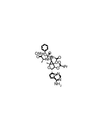 COC(=O)[C@H](C)NP(=O)(Oc1ccccc1)OC1[C@@]2(C)O[C@@H](c3ccc4c(N)ncnn34)[C@H](OC(=O)C(C)C)[C@@]12OC(=O)C(C)C